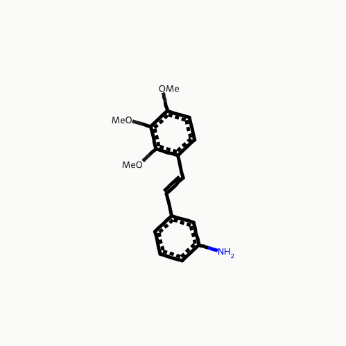 COc1ccc(C=Cc2cccc(N)c2)c(OC)c1OC